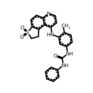 Cc1ccc(NC(=O)Nc2ccccc2)cc1Nc1ccnc2ccc3c(c12)CCS3(=O)=O